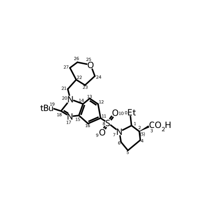 CCC1[C@@H](C(=O)O)CCCN1S(=O)(=O)c1ccc2c(c1)nc(C(C)(C)C)n2CC1CCOCC1